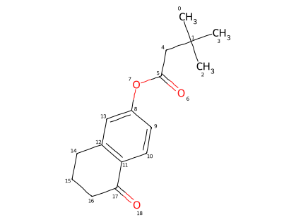 CC(C)(C)CC(=O)Oc1ccc2c(c1)CCCC2=O